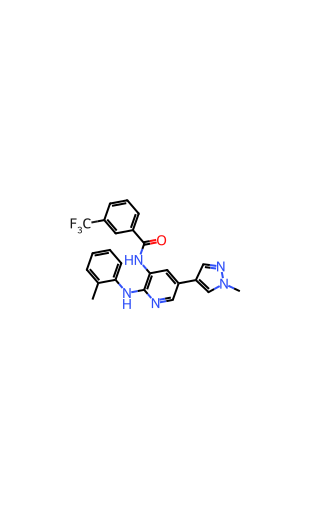 Cc1ccccc1Nc1ncc(-c2cnn(C)c2)cc1NC(=O)c1cccc(C(F)(F)F)c1